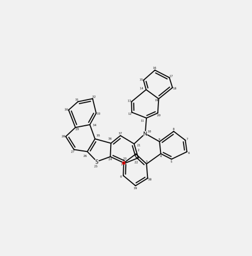 c1ccc(-c2ccccc2N(c2ccc3ccccc3c2)c2ccc3sc4ccc5ccccc5c4c3c2)cc1